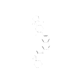 C[C@H]1CN([C@]2(C)COC[C@@H]2O)CCN1c1cc2cc(NC(=O)[C@@H]3CC34CCOCC4)ncc2cc1Cl